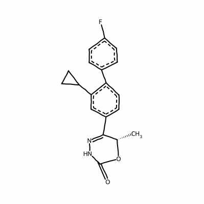 C[C@@H]1OC(=O)NN=C1c1ccc(-c2ccc(F)cc2)c(C2CC2)c1